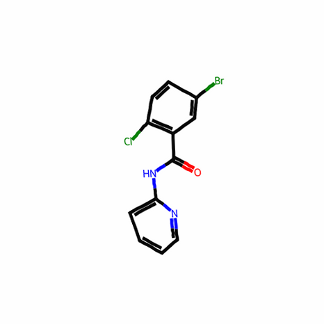 O=C(Nc1ccccn1)c1cc(Br)ccc1Cl